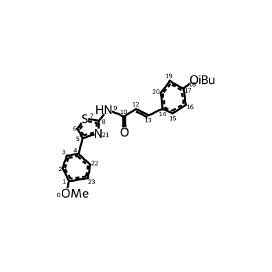 COc1ccc(-c2csc(NC(=O)/C=C/c3ccc(OCC(C)C)cc3)n2)cc1